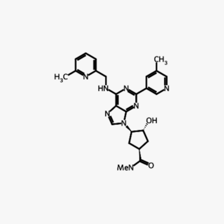 CNC(=O)[C@@H]1C[C@@H](O)[C@H](n2cnc3c(NCc4cccc(C)n4)nc(-c4cncc(C)c4)nc32)C1